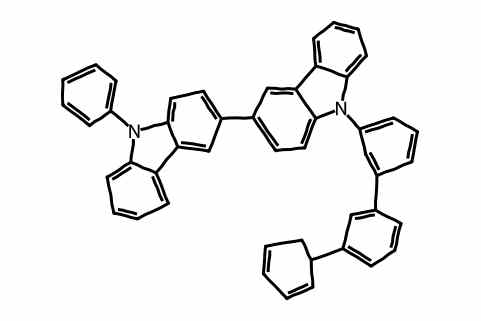 C1=CCC(c2cccc(-c3cccc(-n4c5ccccc5c5cc(-c6ccc7c(c6)c6ccccc6n7-c6ccccc6)ccc54)c3)c2)C=C1